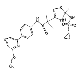 CC1(NS(=O)(=O)C2CC2)NC(C(C)(C)C(=O)Nc2ccc(-c3cncc(OCC(F)(F)F)n3)cc2)=CS1